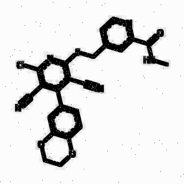 CNC(=O)c1cc(CSc2nc(Cl)c(C#N)c(-c3ccc4c(c3)OCCO4)c2C#N)ccn1